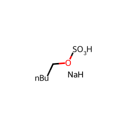 CCCCCOS(=O)(=O)O.[NaH]